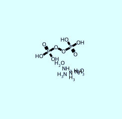 N.N.N.N.O.O.O=P(O)(O)OOP(=O)(O)O